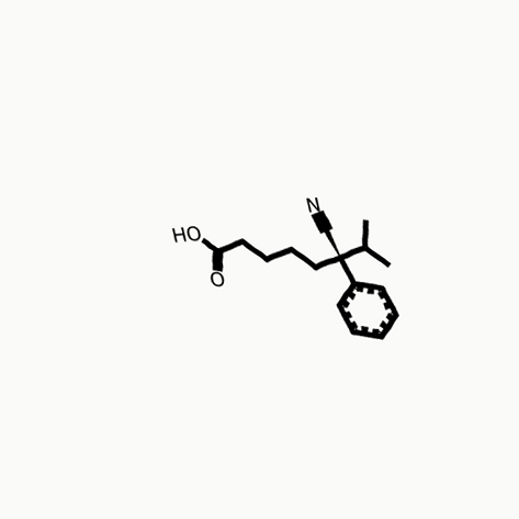 CC(C)[C@@](C#N)(CCCCC(=O)O)c1ccccc1